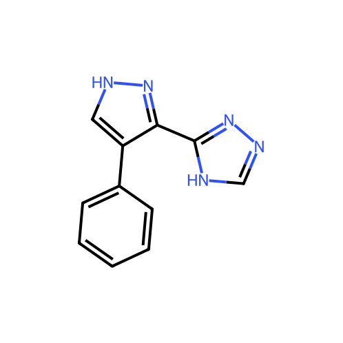 c1ccc(-c2c[nH]nc2-c2nnc[nH]2)cc1